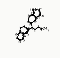 NCCC(c1ccc2ncccc2c1)c1ccc2[nH]ccc2c1